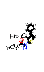 O=C(O)C(=O)Nc1scc(-c2ccccc2)c1C(=O)O